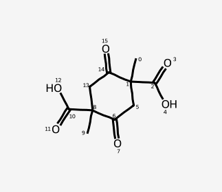 CC1(C(=O)O)CC(=O)C(C)(C(=O)O)CC1=O